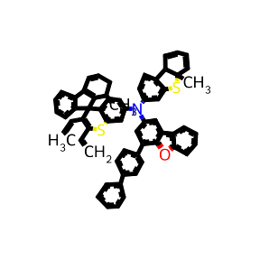 C=CC1=C(/C=C\C)C2(C3=C(C=CCC3C)c3ccccc32)c2ccc(N(c3ccc4c(c3)SC3(C)C=CC=CC43)c3cc(-c4ccc(-c5ccccc5)cc4)c4oc5ccccc5c4c3)cc2S1